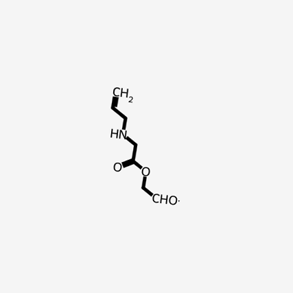 C=CCNCC(=O)OC[C]=O